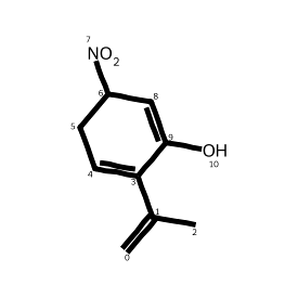 C=C(C)C1=CCC([N+](=O)[O-])C=C1O